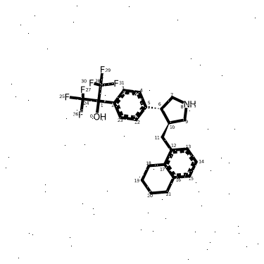 OC(c1ccc([C@@H]2CNC[C@H]2Cc2cccc3c2CCCC3)cc1)(C(F)(F)F)C(F)(F)F